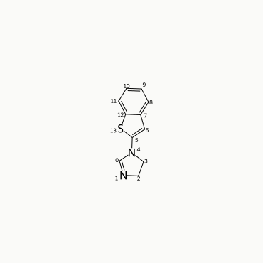 C1=NCCN1c1cc2ccccc2s1